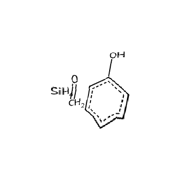 C=O.Oc1ccccc1.[SiH4]